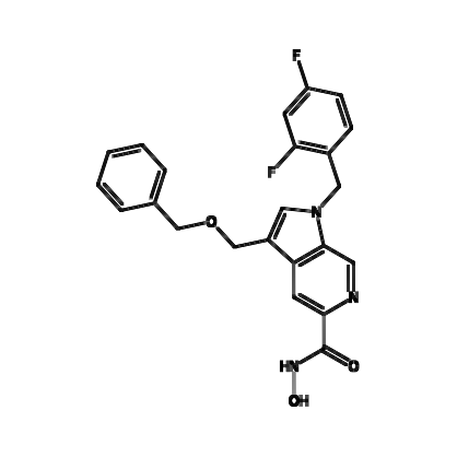 O=C(NO)c1cc2c(COCc3ccccc3)cn(Cc3ccc(F)cc3F)c2cn1